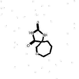 O=C1NC(=O)C2(CCCCOC2)N1